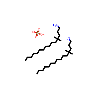 CCCCCCCCCCCC(C)(C)CCCN.CCCCCCCCCCCC(C)(C)CCCN.O=S(=O)(O)O